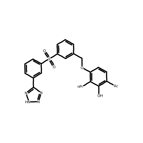 CCCc1c(OCc2cccc(S(=O)(=O)c3cccc(-c4nn[nH]n4)c3)c2)ccc(C(C)=O)c1O